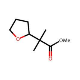 COC(=O)C(C)(C)C1CCCO1